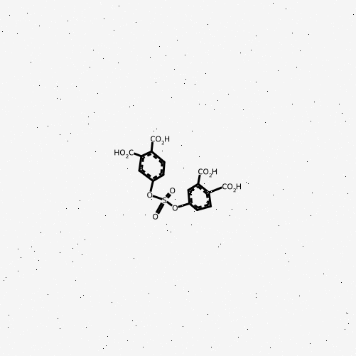 O=C(O)c1ccc(OS(=O)(=O)Oc2ccc(C(=O)O)c(C(=O)O)c2)cc1C(=O)O